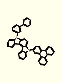 c1ccc(-c2cccc(-n3c4ccccc4c4c5c6ccccc6n(-c6ccc7c8ccccc8c8ccccc8c7c6)c5ccc43)c2)cc1